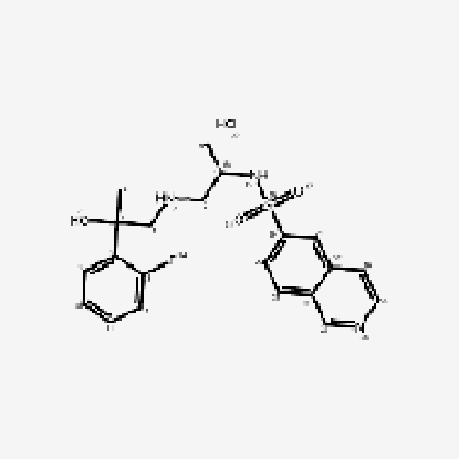 C[C@H](CNCC(C)(O)c1ccccc1F)NS(=O)(=O)c1ccc2cnccc2c1.Cl